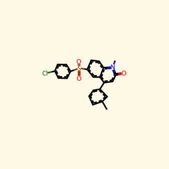 Cc1cccc(-c2cc(=O)n(C)c3ccc(S(=O)(=O)c4ccc(Cl)cc4)cc23)c1